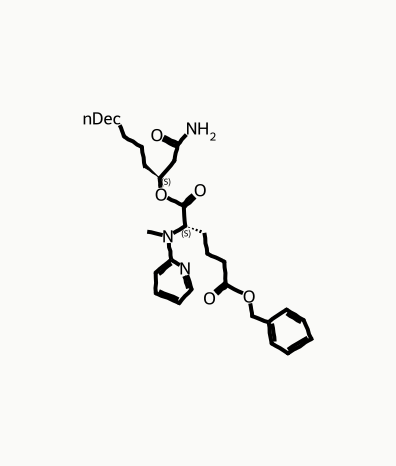 CCCCCCCCCCCCC[C@@H](CC(N)=O)OC(=O)[C@H](CCCC(=O)OCc1ccccc1)N(C)c1ccccn1